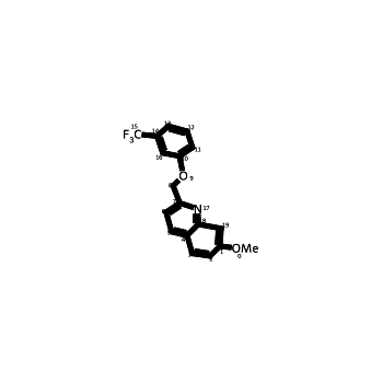 COc1ccc2ccc(COc3cccc(C(F)(F)F)c3)nc2c1